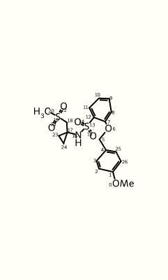 COc1ccc(COc2ccccc2S(=O)(=O)NC2(CS(C)(=O)=O)CC2)cc1